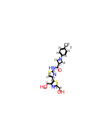 O=C(Nc1nc(-c2sc(CO)nc2CO)cs1)C1CN(c2ccc(C(F)(F)F)cc2)C1